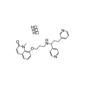 Cl.Cl.Cl.Cn1c(=O)ccc2cccc(OCCCNC(CCc3cccnc3)c3ccncc3)c21